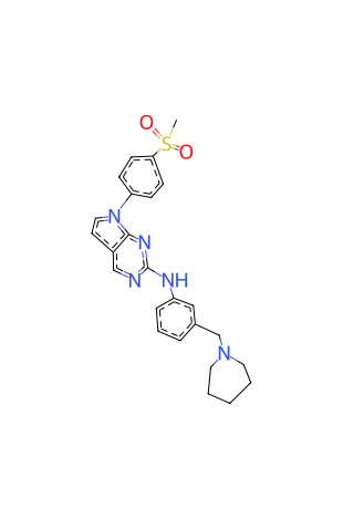 CS(=O)(=O)c1ccc(-n2ccc3cnc(Nc4cccc(CN5CCCCC5)c4)nc32)cc1